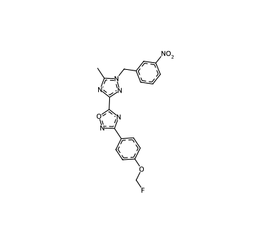 Cc1nc(-c2nc(-c3ccc(OCF)cc3)no2)nn1Cc1cccc([N+](=O)[O-])c1